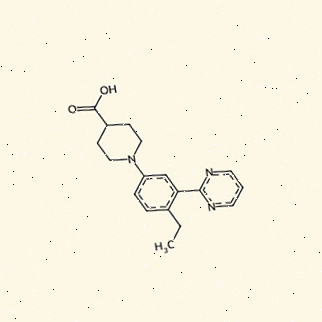 CCc1ccc(N2CCC(C(=O)O)CC2)cc1-c1ncccn1